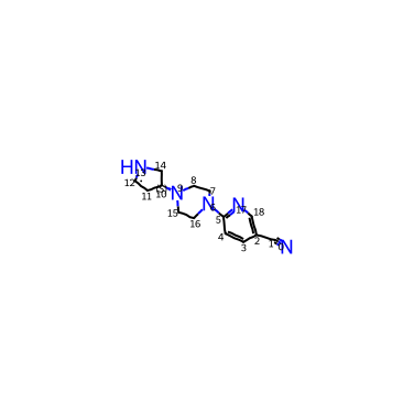 N#Cc1ccc(N2CCN([C@H]3C[CH]NC3)CC2)nc1